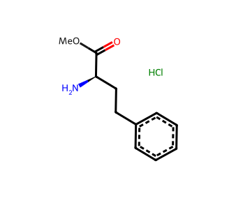 COC(=O)[C@H](N)CCc1ccccc1.Cl